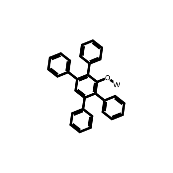 [W][O]c1c(-c2ccccc2)c(-c2ccccc2)cc(-c2ccccc2)c1-c1ccccc1